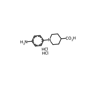 Cl.Cl.Nc1ccc(N2CCC(C(=O)O)CC2)cc1